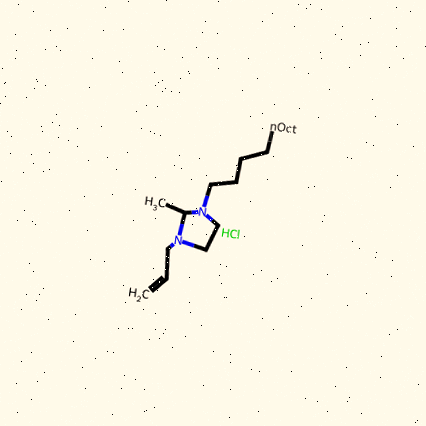 C=CCN1CCN(CCCCCCCCCCCC)C1C.Cl